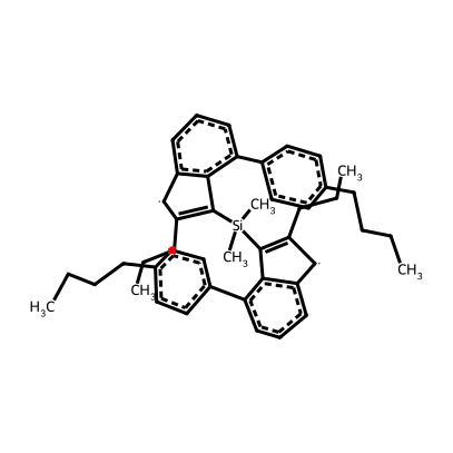 CCCCc1ccc(-c2cccc3c2C([Si](C)(C)C2=C(CCC)[CH]c4cccc(-c5ccc(CCCC)cc5)c42)=C(CCC)[CH]3)cc1